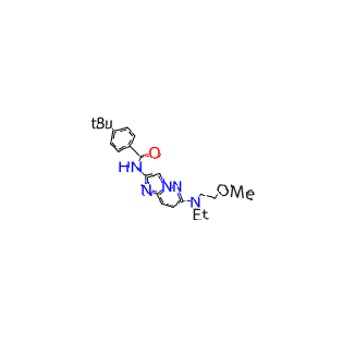 CCN(CCOC)c1ccc2nc(NC(=O)c3ccc(C(C)(C)C)cc3)cn2n1